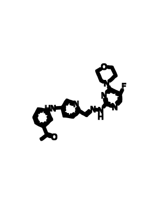 CC(=O)c1cccc(Nc2ccc(/C=N/Nc3ncc(F)c(N4CCOCC4)n3)nc2)c1